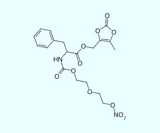 Cc1oc(=O)oc1COC(=O)C(Cc1ccccc1)NC(=O)OCCOCCO[N+](=O)[O-]